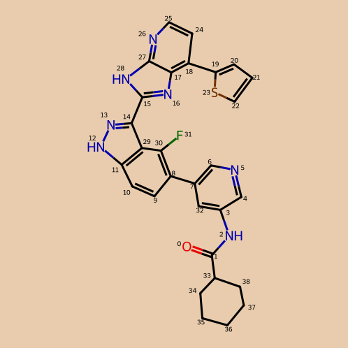 O=C(Nc1cncc(-c2ccc3[nH]nc(-c4nc5c(-c6cccs6)ccnc5[nH]4)c3c2F)c1)C1CCCCC1